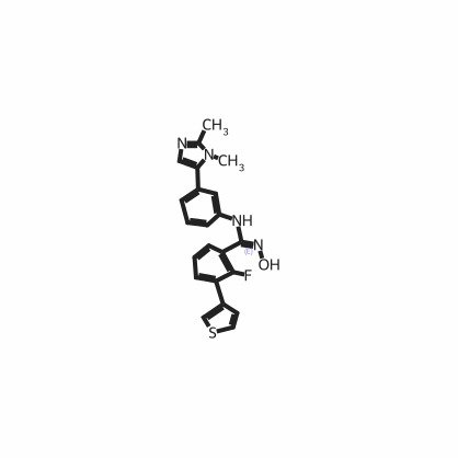 Cc1ncc(-c2cccc(N/C(=N/O)c3cccc(-c4ccsc4)c3F)c2)n1C